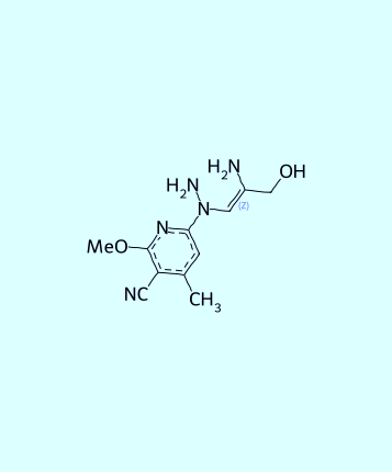 COc1nc(N(N)/C=C(\N)CO)cc(C)c1C#N